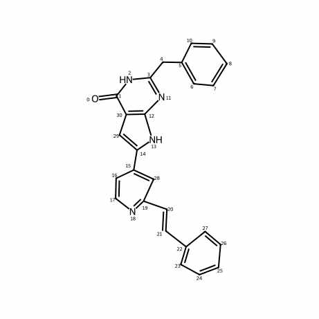 O=c1[nH]c(Cc2ccccc2)nc2[nH]c(-c3ccnc(C=Cc4ccccc4)c3)cc12